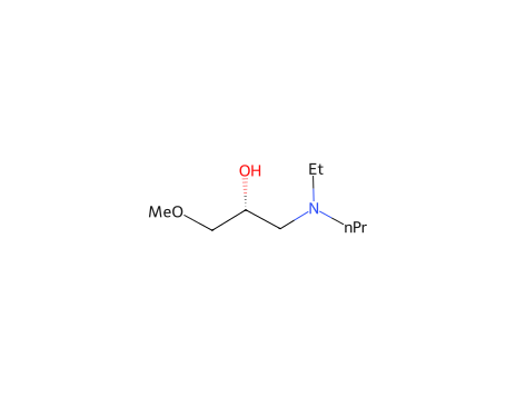 CCCN(CC)C[C@@H](O)COC